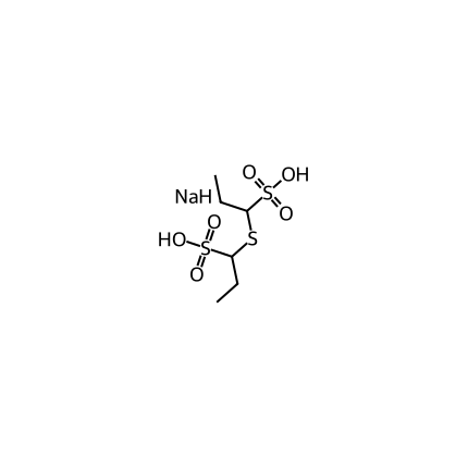 CCC(SC(CC)S(=O)(=O)O)S(=O)(=O)O.[NaH]